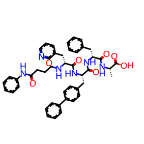 C[C@H](NC(=O)[C@@H](Cc1ccccc1)NC(=O)[C@H](Cc1ccc(-c2ccccc2)cc1)NC(=O)[C@@H](Cc1cccnc1)NC(=O)CCC(=O)Nc1ccccc1)C(=O)O